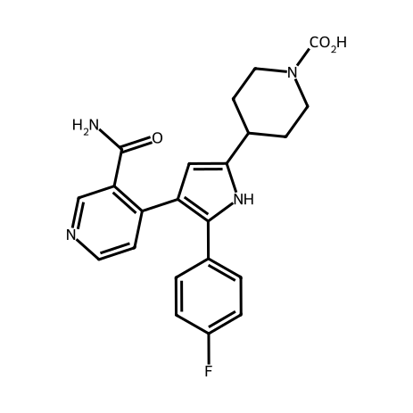 NC(=O)c1cnccc1-c1cc(C2CCN(C(=O)O)CC2)[nH]c1-c1ccc(F)cc1